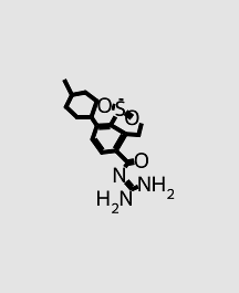 CCc1c(C(=O)N=C(N)N)ccc(C2CCC(C)CC2)c1S(C)(=O)=O